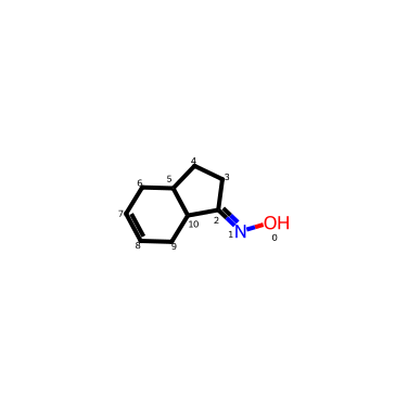 ON=C1CCC2CC=CCC12